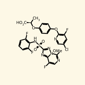 COc1ncc(F)c2nc(S(=O)(=O)Nc3c(F)cccc3F)nn12.C[C@@H](Oc1ccc(Oc2ncc(Cl)cc2F)cc1)C(=O)O